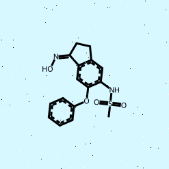 CS(=O)(=O)Nc1cc2c(cc1Oc1ccccc1)/C(=N\O)CC2